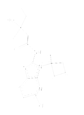 CCC(C)(O)CC(=O)Nc1nc2ccc(Cl)nc2n1C1(C)CCC1